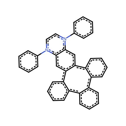 c1ccc(-n2ccn(-c3ccccc3)c3cc4c5ccccc5c5ccccc5c5ccccc5c4cc32)cc1